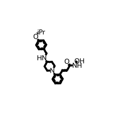 CC(C)Oc1ccc(CNC2CCN(c3ccccc3/C=C/C(=O)NO)CC2)cc1